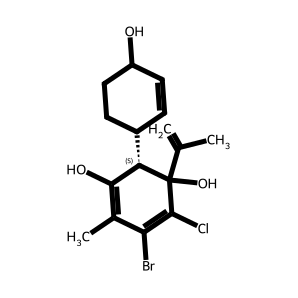 C=C(C)C1(O)C(Cl)=C(Br)C(C)=C(O)[C@@H]1C1C=CC(O)CC1